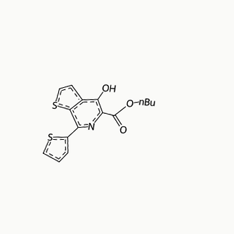 CCCCOC(=O)c1nc(-c2cccs2)c2sccc2c1O